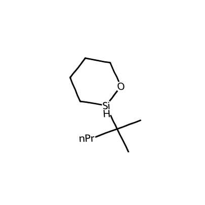 CCCC(C)(C)[SiH]1CCCCO1